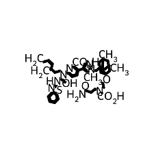 C=C/C=C\C(=C)CCN(c1ccc(-c2cnn(CC34CC5(C)CC(C)(C3)CC(OCCN(CCC(N)=O)C(=O)O)(C5)C4)c2C)c(C(=O)O)n1)C(O)Nc1nc2ccccc2s1